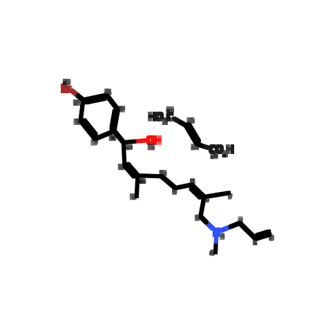 C=CCN(C)CC(C)=CCCC(C)=CC(O)c1ccc(Br)cc1.O=C(O)C=CC(=O)O